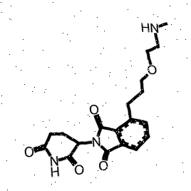 CNCCOCCCc1cccc2c1C(=O)N(C1CCC(=O)NC1=O)C2=O